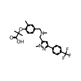 Cc1cc(CN(C)Cc2cc(-c3ccc(C(F)(F)F)cc3)nn2C)ccc1OC(C)(C)C(=O)O